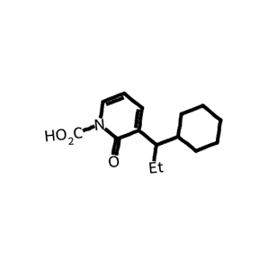 CCC(c1cccn(C(=O)O)c1=O)C1CCCCC1